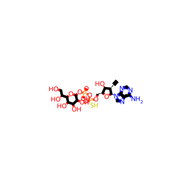 C#C[C@H]1[C@H](O)[C@@H](COP(=O)(S)OP(=O)(O)OC2OC([C@@H](O)CO)C(O)C(O)C2O)O[C@H]1n1cnc2c(N)ncnc21